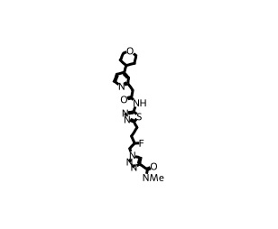 CNC(=O)c1cn(CC(F)CCc2nnc(NC(=O)Cc3cc(C4CCOCC4)ccn3)s2)nn1